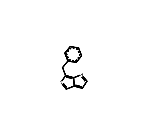 C1=NC(Cc2ccccc2)=C2N=CC=C12